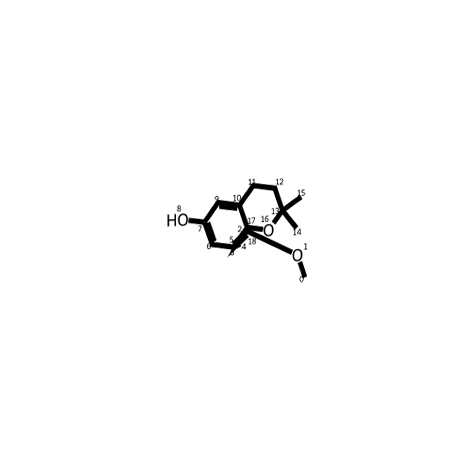 COC1=CC=C2C=C(O)C=C3CCC(C)(C)OC23C1